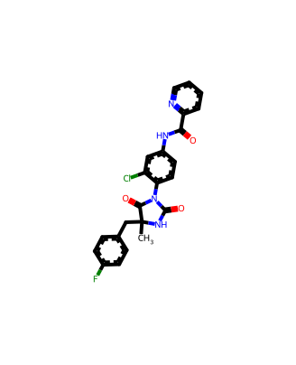 CC1(Cc2ccc(F)cc2)NC(=O)N(c2ccc(NC(=O)c3ccccn3)cc2Cl)C1=O